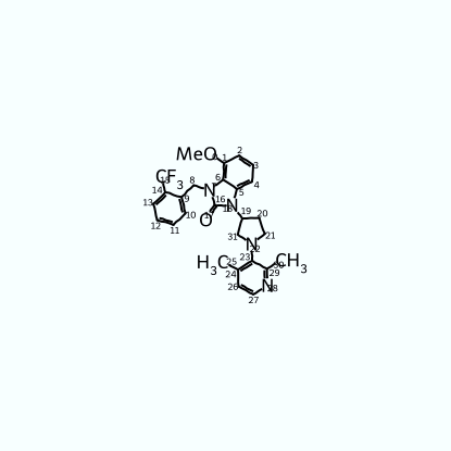 COc1cccc2c1n(Cc1ccccc1C(F)(F)F)c(=O)n2C1CCN(c2c(C)ccnc2C)C1